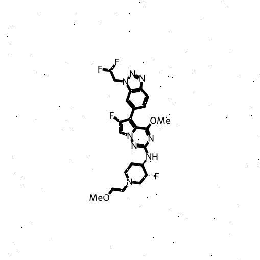 COCCN1CC[C@@H](Nc2nc(OC)c3c(-c4ccc5nnn(CC(F)F)c5c4)c(F)cn3n2)[C@H](F)C1